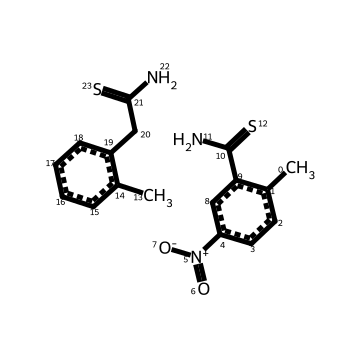 Cc1ccc([N+](=O)[O-])cc1C(N)=S.Cc1ccccc1CC(N)=S